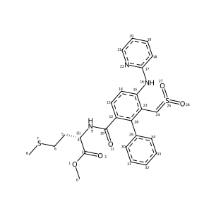 COC(=O)[C@H](CCSC)NC(=O)c1ccc(Nc2ccccn2)c(C=S(=O)=O)c1-c1ccccc1